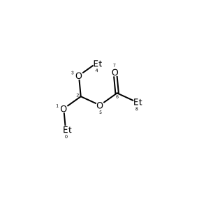 CCOC(OCC)OC(=O)CC